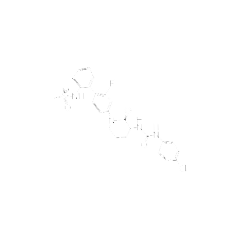 CS(=O)(=O)Nc1ccccc1-c1ccc(N2CCCC(NC(=O)Nc3ccc(Cl)cc3)C2=O)cc1F